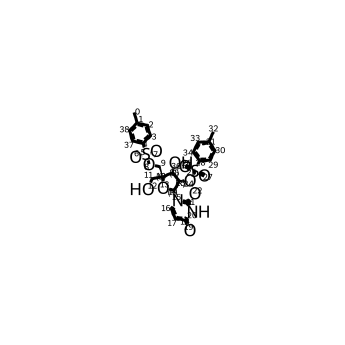 Cc1ccc(S(=O)(=O)OC[C@]2(CO)O[C@@H](n3ccc(=O)[nH]c3=O)[C@H](OS(=O)(=O)c3ccc(C)cc3)[C@@H]2O)cc1